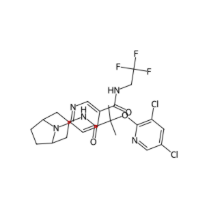 CC(C)(Oc1ncc(Cl)cc1Cl)C(=O)NC1CC2CCC(C1)N2c1ccc(C(=O)NCC(F)(F)F)cn1